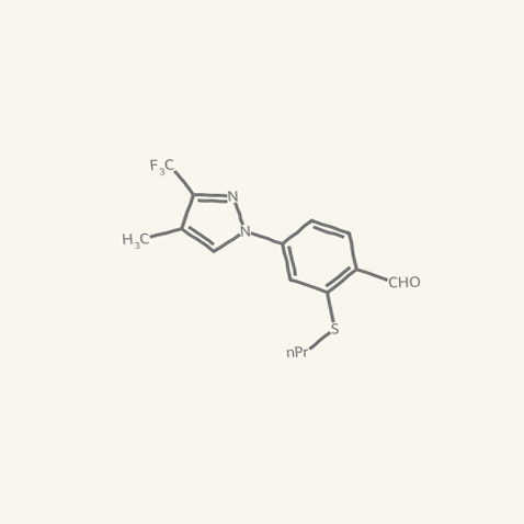 CCCSc1cc(-n2cc(C)c(C(F)(F)F)n2)ccc1C=O